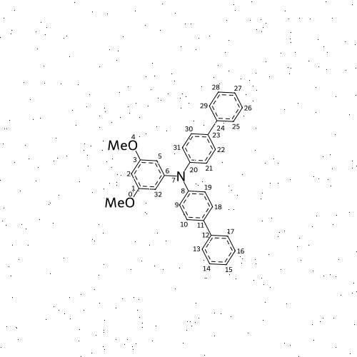 COc1cc(OC)cc(N(c2ccc(-c3ccccc3)cc2)c2ccc(-c3ccccc3)cc2)c1